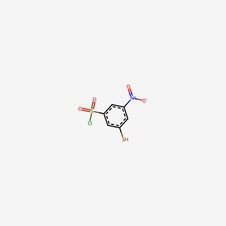 O=[N+]([O-])c1cc(S)cc(S(=O)(=O)Cl)c1